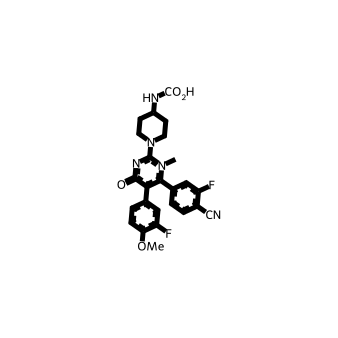 COc1ccc(-c2c(-c3ccc(C#N)c(F)c3)n(C)c(N3CCC(NC(=O)O)CC3)nc2=O)cc1F